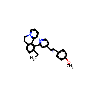 CCc1ccc2c(c1-c1cc(/C=C/c3ccc(OC)cc3)ccn1)-c1cccc[n+]1CC2